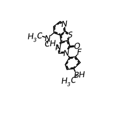 CBc1ccc(-n2cnc3c(sc4nccc(N(C)C)c43)c2=O)c(F)c1